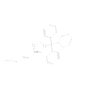 OCC=Cc1cn(C(c2ccccc2)(c2ccccc2)c2ccccc2)cn1